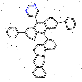 c1ccc(-c2ccc3c(-c4cccc5c4ccc4cc6ccccc6cc45)c4cc(-c5ccccc5)ccc4c(-c4cncnc4)c3c2)cc1